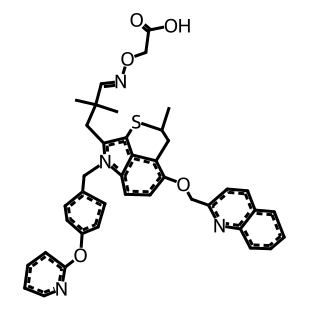 CC1Cc2c(OCc3ccc4ccccc4n3)ccc3c2c(c(CC(C)(C)C=NOCC(=O)O)n3Cc2ccc(Oc3ccccn3)cc2)S1